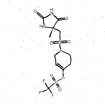 C[C@@]1(CS(=O)(=O)N2CC=C(OS(=O)(=O)C(F)(F)F)CC2)NC(=O)NC1=O